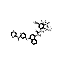 COc1c(NC(=O)Nc2ccc(Oc3ccnc(Nc4cnccn4)c3)c3ccccc23)cc(C(C)(C)C)cc1P(C)(C)=O